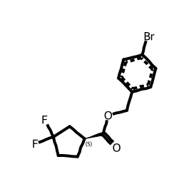 O=C(OCc1ccc(Br)cc1)[C@H]1CCC(F)(F)C1